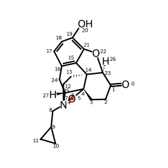 O=C1CC[C@]23OC[N+]4(CC5CC5)CC[C@@]25c2c(ccc(O)c2O[C@@H]15)C[C@H]34